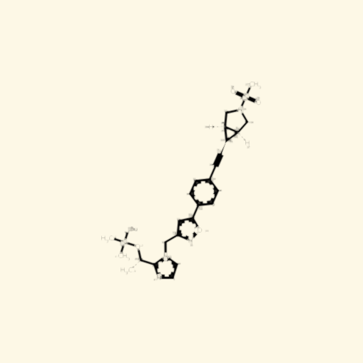 C[C@H](O[Si](C)(C)C(C)(C)C)c1nccn1Cc1cc(-c2ccc(C#C[C@H]3[C@H]4CN(S(C)(=O)=O)C[C@@H]34)cc2)on1